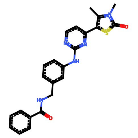 Cc1c(-c2ccnc(Nc3cccc(CNC(=O)c4ccccc4)c3)n2)sc(=O)n1C